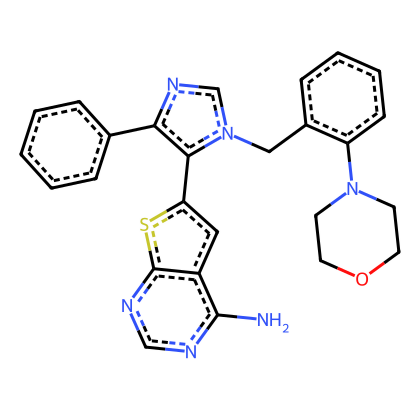 Nc1ncnc2sc(-c3c(-c4ccccc4)ncn3Cc3ccccc3N3CCOCC3)cc12